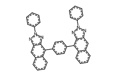 c1ccc(-n2nc3cc4ccccc4c(-c4ccc(-c5c6ccccc6cc6nn(-c7ccccc7)nc56)cc4)c3n2)cc1